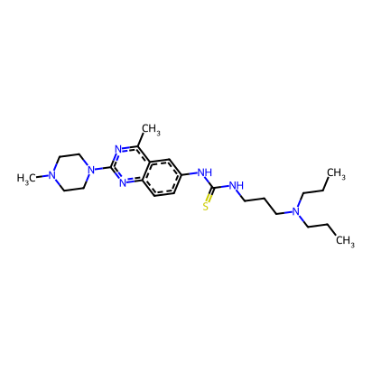 CCCN(CCC)CCCNC(=S)Nc1ccc2nc(N3CCN(C)CC3)nc(C)c2c1